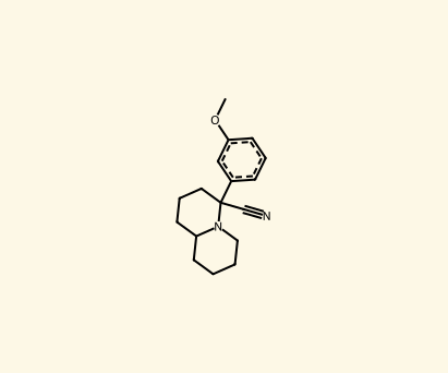 COc1cccc(C2(C#N)CCCC3CCCCN32)c1